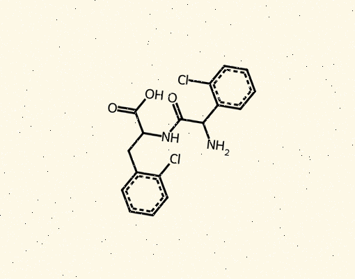 NC(C(=O)NC(Cc1ccccc1Cl)C(=O)O)c1ccccc1Cl